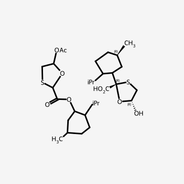 CC(=O)OC1CSC(C(=O)OC2CC(C)CCC2C(C)C)O1.CC(C)C1CC[C@@H](C)CC1[C@@]1(C(=O)O)O[C@@H](O)CS1